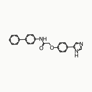 O=C(COc1ccc(-c2cnc[nH]2)cc1)Nc1ccc(-c2ccccc2)cc1